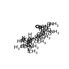 CSCC[C@H](NC(=O)[C@H](CC(C)C)NC(=O)[C@H](Cc1c[nH]cn1)NC(=O)CNC(=O)[C@@H](NC(=O)[C@H](C)NC(=O)[C@H](Cc1c[nH]c2ccccc12)NC(=O)[C@H](CCC(N)=O)NC(=O)[C@@H](N)CC(N)=O)C(C)C)C(N)=O